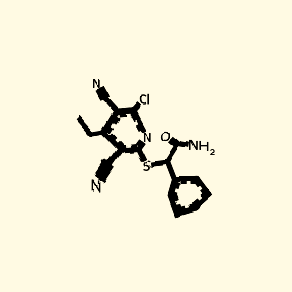 CCc1c(C#N)c(Cl)nc(SC(C(N)=O)c2ccccc2)c1C#N